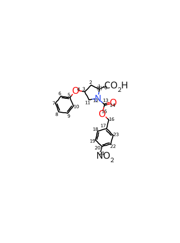 O=C(O)[C@@H]1CC(Oc2ccccc2)CN1C(=O)OCc1ccc([N+](=O)[O-])cc1